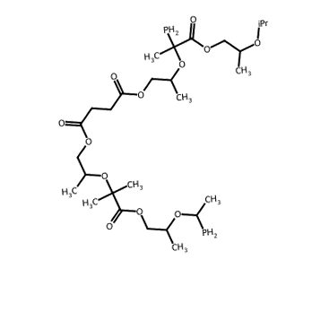 CC(C)OC(C)COC(=O)C(C)(P)OC(C)COC(=O)CCC(=O)OCC(C)OC(C)(C)C(=O)OCC(C)OC(C)P